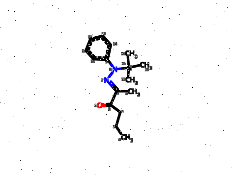 CCCC(=O)C(C)=NN(c1ccccc1)[Si](C)(C)C